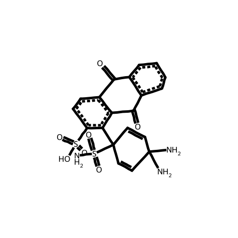 NC1(N)C=CC(c2c(S(=O)(=O)O)ccc3c2C(=O)c2ccccc2C3=O)(S(N)(=O)=O)C=C1